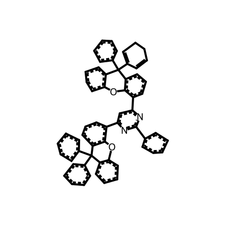 C1=CC(C2(c3ccccc3)c3ccccc3Oc3c(-c4cc(-c5cccc6c5Oc5ccccc5C6(c5ccccc5)c5ccccc5)nc(-c5ccccc5)n4)cccc32)=CCC1